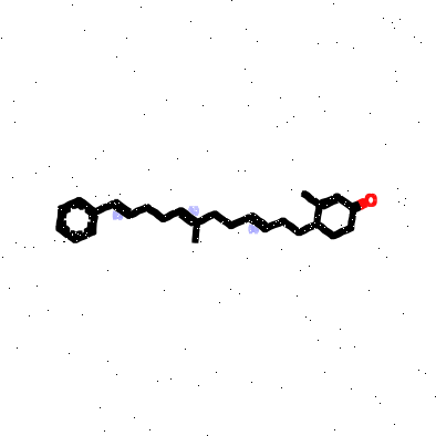 CC1=CC(=O)CCC1CC/C=C/CC/C(C)=C/CC/C=C/c1ccccc1